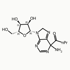 CCCC(=O)C1(N)N=CN=C2C1=NCN2[C@@H]1O[C@H](CO)[C@@H](O)[C@H]1O